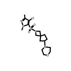 Cc1nn(C)c(S(=O)(=O)N2CC3(CCC(N4CCOCC4)C3)C2)c1Cl